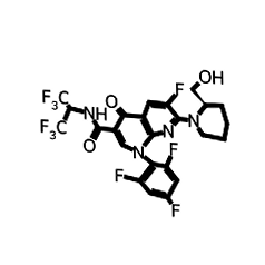 O=C(NC(C(F)(F)F)C(F)(F)F)c1cn(-c2c(F)cc(F)cc2F)c2nc(N3CCCC[C@@H]3CO)c(F)cc2c1=O